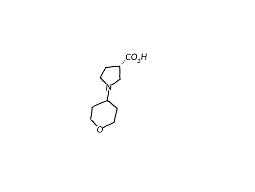 O=C(O)[C@H]1CCN(C2CCOCC2)C1